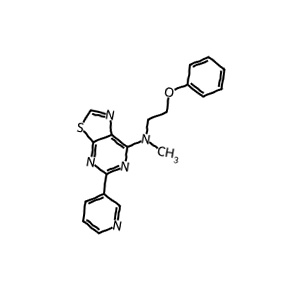 CN(CCOc1ccccc1)c1nc(-c2cccnc2)nc2scnc12